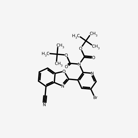 CC(C)(C)OC(=O)N(C(=O)OC(C)(C)C)c1ncc(Br)cc1-c1nc2c(C#N)cccc2o1